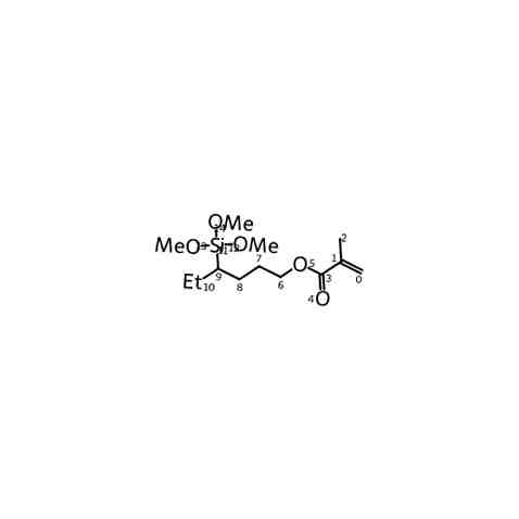 C=C(C)C(=O)OCCCC(CC)[Si](OC)(OC)OC